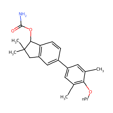 CCCOc1c(C)cc(-c2ccc3c(c2)CC(C)(C)C3OC(N)=O)cc1C